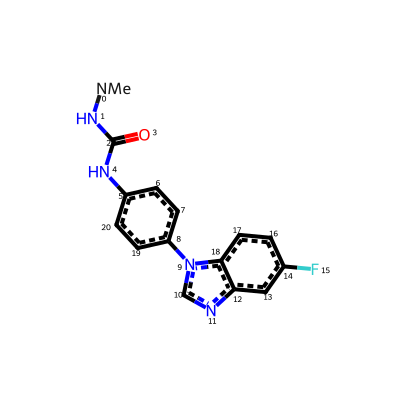 CNNC(=O)Nc1ccc(-n2cnc3cc(F)ccc32)cc1